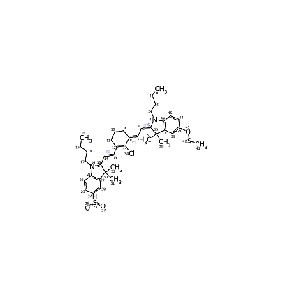 CCCCN1/C(=C/C=C2\CCCC(/C=C/C3=[N+](CCCC)c4ccc([SH](=O)=O)cc4C3(C)C)=C2Cl)C(C)(C)c2cc(OSC)ccc21